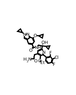 CCOc1c(CC(N)=O)cc([C@@](O)(CNC(=O)c2cc(OC3CC3)c3nn(C4CC4)cc3c2)C2CC2)nc1-c1ccc(F)c(Cl)c1F